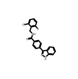 O=C(NCc1c(F)cccc1Cl)c1ccc(-c2n[nH]c3ccccc23)cc1